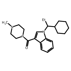 CCC(C1CCCCC1)n1cc(C(=O)N2CCN(C)CC2)c2ccccc21